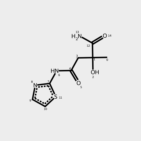 CC(O)([CH]C(=O)Nc1nccs1)C(N)=O